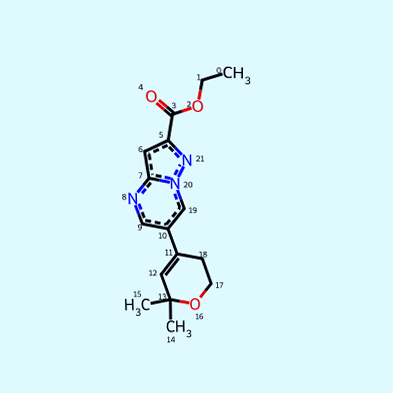 CCOC(=O)c1cc2ncc(C3=CC(C)(C)OCC3)cn2n1